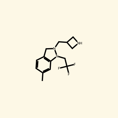 Cc1ccc2c(c1)N(CC(F)(F)F)N(CC1CNC1)C2